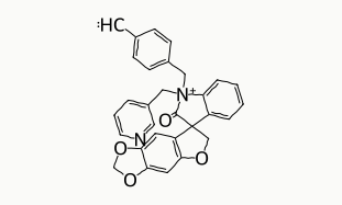 [CH]c1ccc(C[N+]2(Cc3cccnc3)C(=O)C3(COc4cc5c(cc43)OCO5)c3ccccc32)cc1